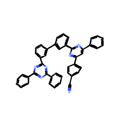 N#Cc1ccc(-c2cc(-c3ccccc3)nc(-c3cccc(-c4cccc(-c5nc(-c6ccccc6)nc(-c6ccccc6)n5)c4)c3)n2)cc1